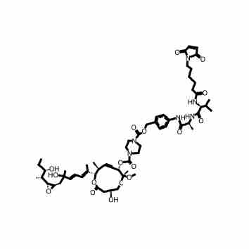 CC[C@H](O)[C@@H](C)[C@H]1O[C@@H]1CC(C)(O)/C=C/C=C(\C)[C@H]1OC(=O)C[C@H](O)CC[C@@](C)(OC)[C@@H](OC(=O)N2CCN(C(=O)OCc3ccc(NC(=O)[C@H](C)NC(=O)[C@@H](NC(=O)CCCCCN4C(=O)C=CC4=O)C(C)C)cc3)CC2)/C=C/[C@@H]1C